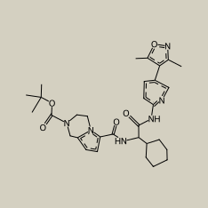 Cc1noc(C)c1-c1ccc(NC(=O)C(NC(=O)c2ccc3n2CCN(C(=O)OC(C)(C)C)C3)C2CCCCC2)nc1